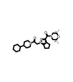 C[C@@H]1CN(C(=O)c2nn(CC(=O)N3CCC(C4CCCCC4)CC3)c3c2CCC3)C[C@H](C)O1